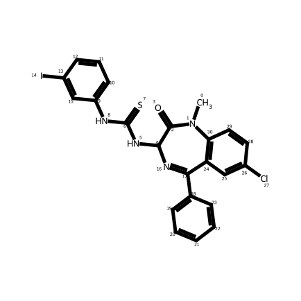 CN1C(=O)C(NC(=S)Nc2cccc(I)c2)N=C(c2ccccc2)c2cc(Cl)ccc21